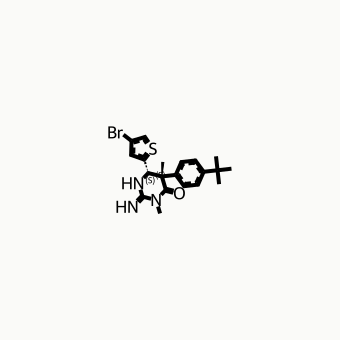 CN1C(=N)N[C@H](c2cc(Br)cs2)[C@](C)(c2ccc(C(C)(C)C)cc2)C1=O